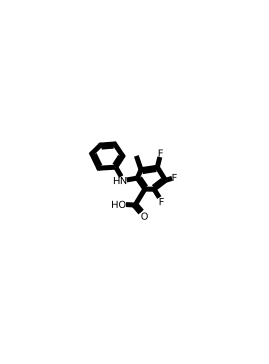 Cc1c(F)c(F)c(F)c(C(=O)O)c1Nc1ccccc1